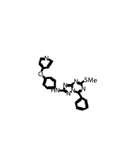 CSc1nc(-c2ccccc2)n2nc(Nc3ccc(Oc4ccncc4)cc3)nc2n1